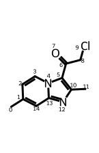 Cc1ccn2c(C(=O)CCl)c(C)nc2c1